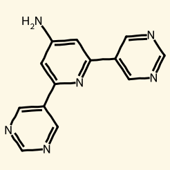 Nc1cc(-c2cncnc2)nc(-c2cncnc2)c1